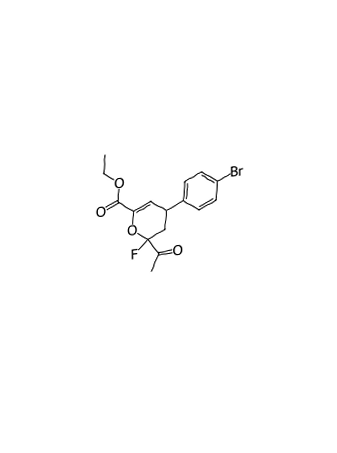 CCOC(=O)C1=CC(c2ccc(Br)cc2)CC(F)(C(C)=O)O1